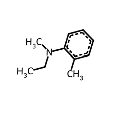 CCN(C)c1ccccc1C